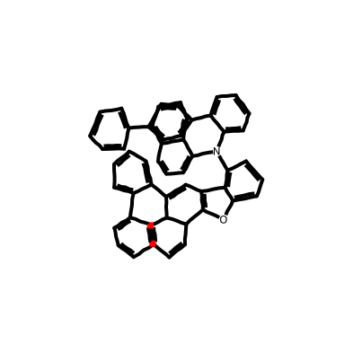 C1=CC2C(c3ccccc3-c3ccccc3)=Cc3c(oc4cccc(N(c5ccccc5-c5ccc(-c6ccccc6)cc5)c5cccc6ccccc56)c34)C2C=C1